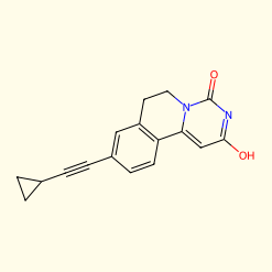 O=c1nc(O)cc2n1CCc1cc(C#CC3CC3)ccc1-2